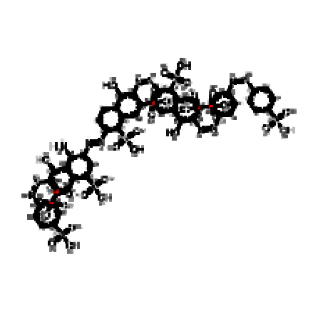 Nc1c(N=Nc2ccc3c(O)c(/N=N\c4ccc5c(O)c(/N=N\c6ccc(/N=N\c7ccc(S(=O)(=O)O)cc7)cc6S(=O)(=O)O)c(S(=O)(=O)O)cc5c4S(=O)(=O)O)c(S(=O)(=O)O)cc3c2S(=O)(=O)O)cc(S(=O)(=O)O)c2cc(S(=O)(=O)O)c(/N=N\c3ccc(S(=O)(=O)O)cc3[N+](=O)[O-])c(O)c12